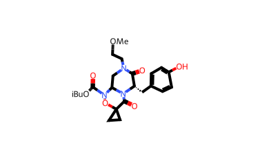 COCCN1CC2N(C(=O)OCC(C)C)OC3(CC3)C(=O)N2[C@@H](Cc2ccc(O)cc2)C1=O